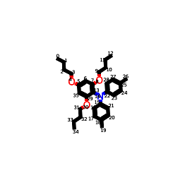 CCCCOc1cc(OCCCC)c(N(c2ccc(C)cc2)c2ccc(C)cc2)c(OCCCC)c1